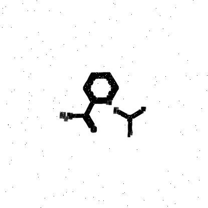 FB(F)F.NC(=O)c1ccccn1